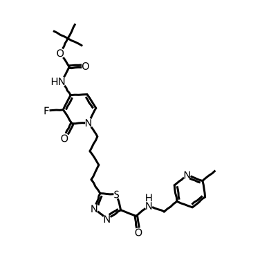 Cc1ccc(CNC(=O)c2nnc(CCCCn3ccc(NC(=O)OC(C)(C)C)c(F)c3=O)s2)cn1